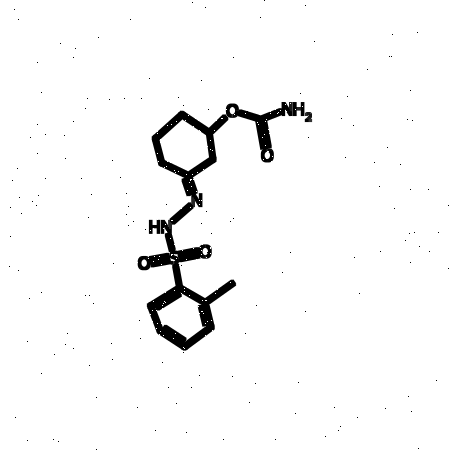 Cc1ccccc1S(=O)(=O)N/N=C1\CCCC(OC(N)=O)C1